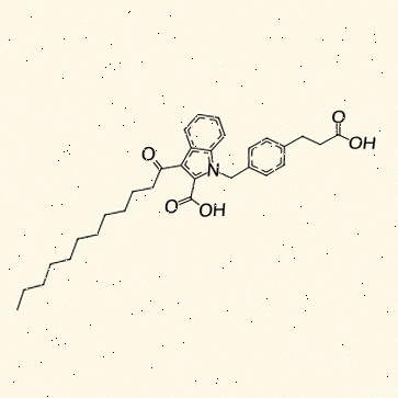 CCCCCCCCCCCC(=O)c1c(C(=O)O)n(Cc2ccc(CCC(=O)O)cc2)c2ccccc12